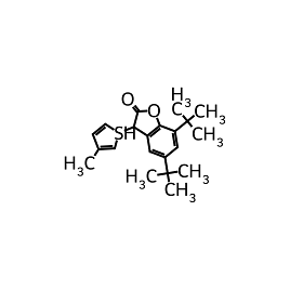 CC1=C[SH](C2C(=O)Oc3c2cc(C(C)(C)C)cc3C(C)(C)C)C=C1